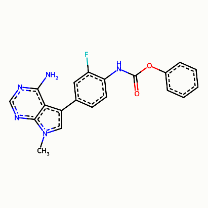 Cn1cc(-c2ccc(NC(=O)Oc3ccccc3)c(F)c2)c2c(N)ncnc21